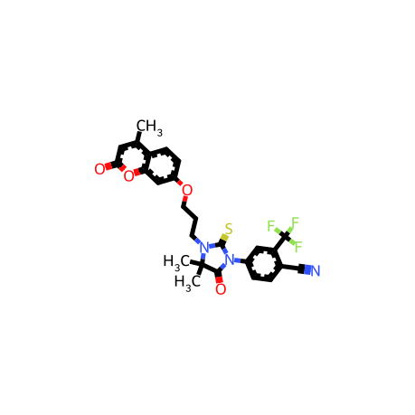 Cc1cc(=O)oc2cc(OCCCN3C(=S)N(c4ccc(C#N)c(C(F)(F)F)c4)C(=O)C3(C)C)ccc12